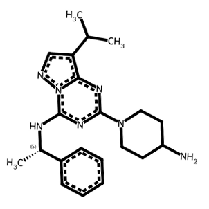 CC(C)c1cnn2c(N[C@@H](C)c3ccccc3)nc(N3CCC(N)CC3)nc12